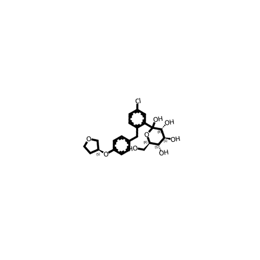 OC[C@H]1OC(O)(c2cc(Cl)ccc2Cc2ccc(O[C@H]3CCOC3)cc2)[C@H](O)[C@@H](O)[C@@H]1O